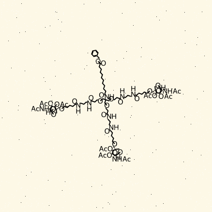 CC(=O)N[C@H]1[C@H]2OC[C@](COCCCCC(=O)NCCCNC(=O)CCOCC(COCCC(=O)NCCCNC(=O)CCCCOC[C@@]34CO[C@@H](O3)[C@H](NC(C)=O)[C@@H](OC(C)=O)[C@H]4OC(C)=O)(COCCC(=O)NCCCNC(=O)CCCCOC[C@@]34CO[C@@H](O3)[C@H](NC(C)=O)[C@@H](OC(C)=O)[C@H]4OC(C)=O)NC(=O)CCCCCCCCCCC(=O)OCc3ccccc3)(O2)[C@H](OC(C)=O)[C@@H]1OC(C)=O